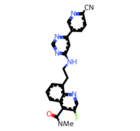 CNC(=O)c1c(F)cnc2c(CCNc3cc(-c4ccc(C#N)nc4)ncn3)cccc12